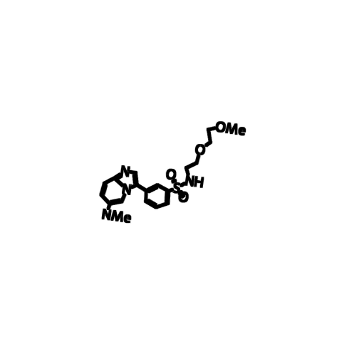 CNc1ccc2ncc(-c3cccc(S(=O)(=O)NCCOCCOC)c3)n2c1